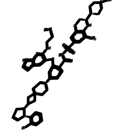 COCCNc1nc2[nH]ccc2cc1Oc1cc(N2CCC3(CC2)CC(N2CCC[C@H]2c2ccccc2C(C)C)C3)ccc1C(=O)NS(=O)(=O)c1cc2c(c([N+](=O)[O-])c1)N[C@@H]([C@H]1CC[C@](C)(O)CC1)CO2